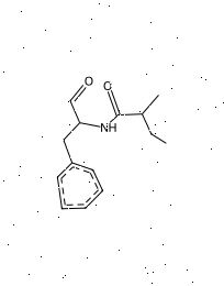 CCC(C)C(=O)NC(C=O)Cc1ccccc1